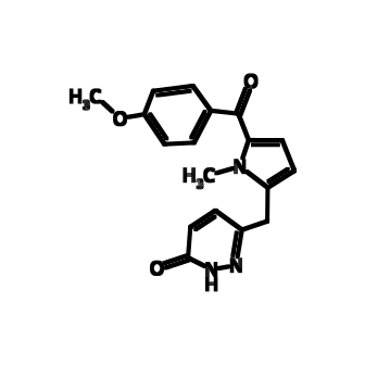 COc1ccc(C(=O)c2ccc(Cc3ccc(=O)[nH]n3)n2C)cc1